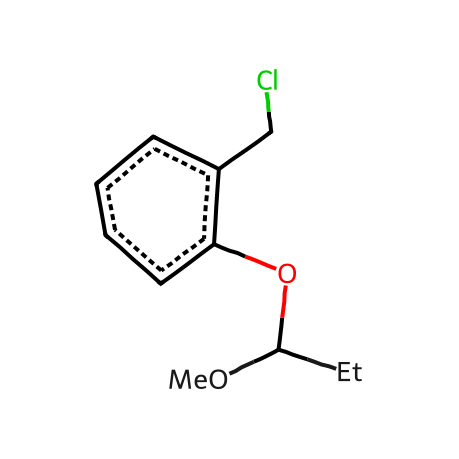 CCC(OC)Oc1ccccc1CCl